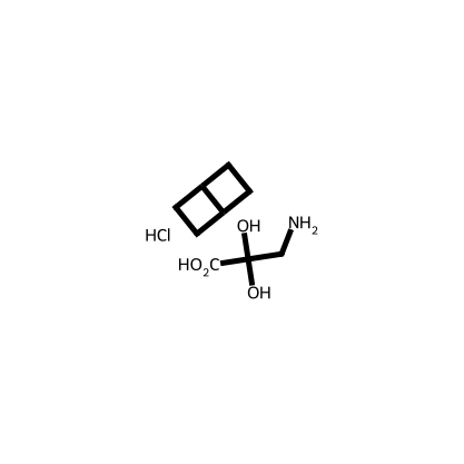 C1CC2CCC12.Cl.NCC(O)(O)C(=O)O